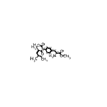 CC[C@@H](C)/C=C(/C)C(=O)N(C(C)=O)c1ccc(C[C@H](N)C(=O)OC)cc1